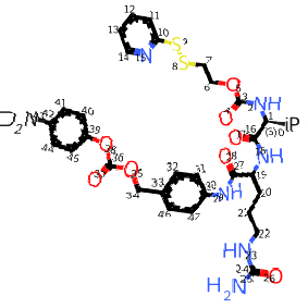 CC(C)[C@H](NC(=O)OCCSSc1ccccn1)C(=O)NC(CCCNC(N)=O)C(=O)Nc1ccc(COC(=O)Oc2ccc([N+](=O)[O-])cc2)cc1